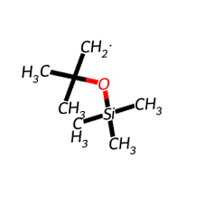 [CH2]C(C)(C)O[Si](C)(C)C